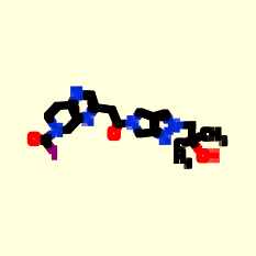 CC(C)(O)Cn1cc2c(n1)CN(C(=O)Cc1cnc3c(n1)CN(C(=O)I)CC3)C2